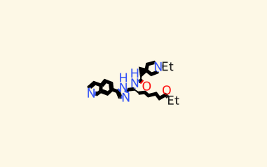 CCC(=O)CCCCC[C@H](NC(=O)[C@H]1CC12CCN(CC)CC2)c1ncc(-c2ccc3ccncc3c2)[nH]1